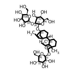 CC1=C[C@]23CC[C@H]4C(C)(C(=O)O[C@@H]5O[C@H](CO)[C@@H](O)[C@H](O)[C@H]5O)CCC[C@]4(C)[C@H]2CC[C@]1(O[C@@H]1O[C@H](CO)[C@@H](O)[C@H](O)[C@H]1O[C@@H]1O[C@H](CO)[C@@H](O)[C@H](O)[C@H]1O)C3